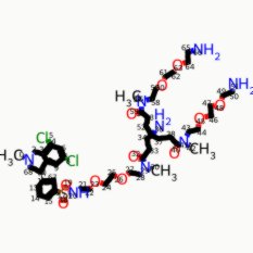 CN1Cc2c(Cl)cc(Cl)cc2[C@H](c2cccc(S(=O)(=O)NCCOCCOCCN(C)C(=O)CCC(N)(CCC(=O)N(C)CCOCCOCCN)CCC(=O)N(C)CCOCCOCCN)c2)C1